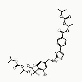 CC(C)OC(=O)OC(C)OC(=O)c1ccc(-c2csc(NCc3ccc(C(F)(F)P(=O)(O)OC(C)OC(=O)OC(C)C)c(Br)c3)n2)cc1